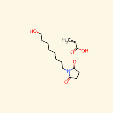 C=CC(=O)O.O=C1CCC(=O)N1CCCCCCCCO